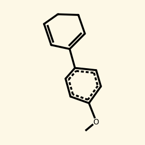 COc1ccc(C2=CCCC=C2)cc1